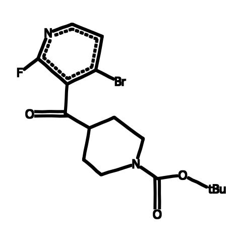 CC(C)(C)OC(=O)N1CCC(C(=O)c2c(Br)ccnc2F)CC1